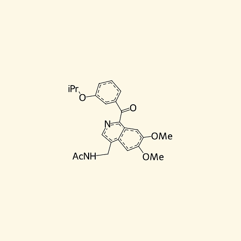 COc1cc2c(CNC(C)=O)cnc(C(=O)c3cccc(OC(C)C)c3)c2cc1OC